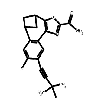 CC(C)(O)C#Cc1cc2c(cc1F)C1CC(C1)c1sc(C(N)=O)nc1-2